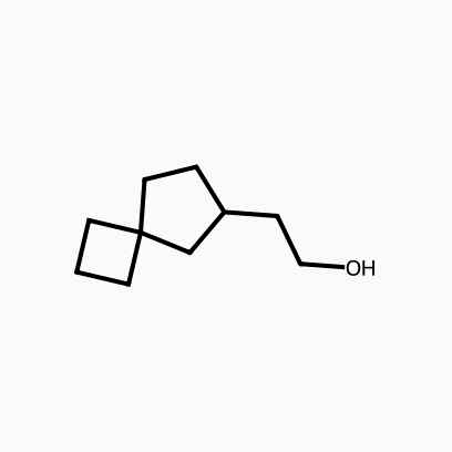 OCCC1CCC2(CCC2)C1